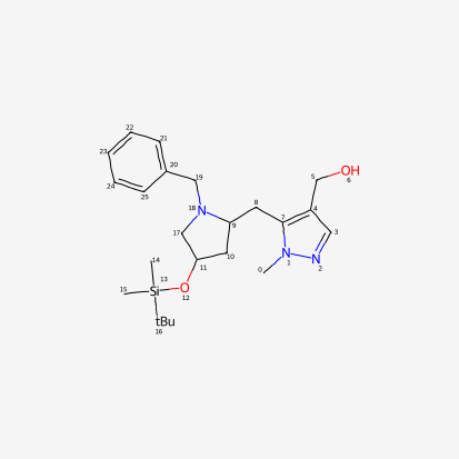 Cn1ncc(CO)c1CC1CC(O[Si](C)(C)C(C)(C)C)CN1Cc1ccccc1